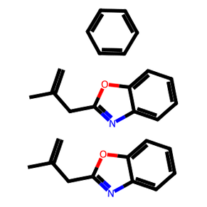 C=C(C)Cc1nc2ccccc2o1.C=C(C)Cc1nc2ccccc2o1.c1ccccc1